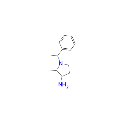 CC(c1ccccc1)N1CCC(N)C1C